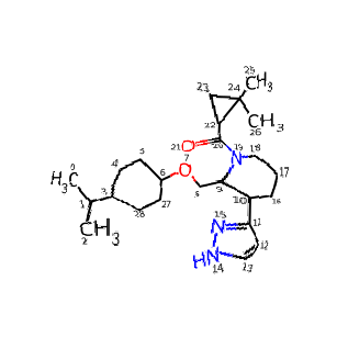 CC(C)C1CCC(OCC2C(c3cc[nH]n3)CCCN2C(=O)C2CC2(C)C)CC1